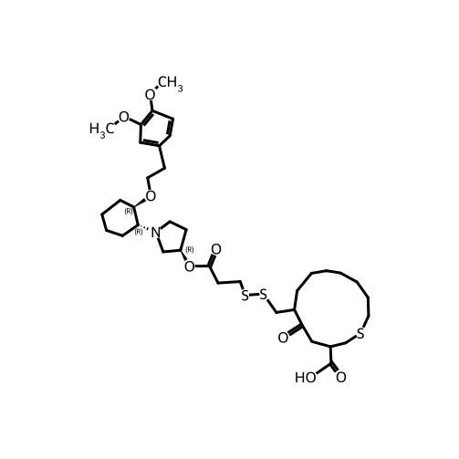 COc1ccc(CCO[C@@H]2CCCC[C@H]2N2CC[C@@H](OC(=O)CCSSCC3CCCCCCCSCC(C(=O)O)CC3=O)C2)cc1OC